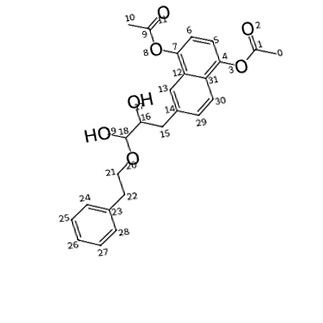 CC(=O)Oc1ccc(OC(C)=O)c2cc(CC(O)C(O)OCCc3ccccc3)ccc12